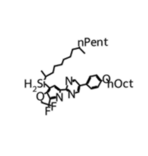 CCCCCCCCOc1ccc(-c2cnc(-c3cc([SiH2]C(C)CCCCCCC(C)CCCCC)c4c(n3)C(F)(F)CO4)nc2)cc1